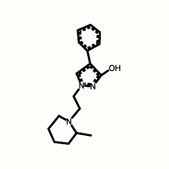 CC1CCCCN1CCn1cc(-c2ccccc2)c(O)n1